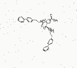 O=C(NCCc1ccc(-c2ccccc2)cc1)C1CN(C(=O)O)CC1C(=O)NCCc1ccc(-c2ccccc2)cc1